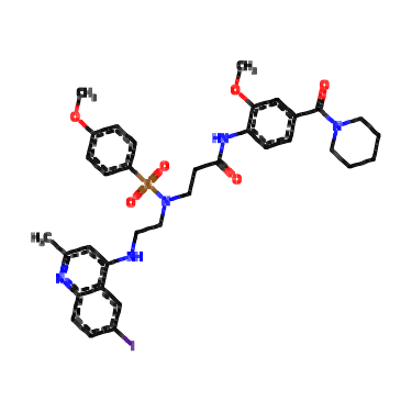 COc1ccc(S(=O)(=O)N(CCNc2cc(C)nc3ccc(I)cc23)CCC(=O)Nc2ccc(C(=O)N3CCCCC3)cc2OC)cc1